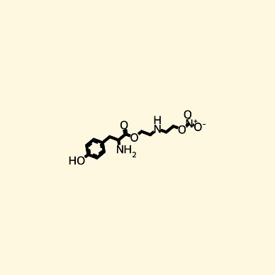 NC(Cc1ccc(O)cc1)C(=O)OCCNCCO[N+](=O)[O-]